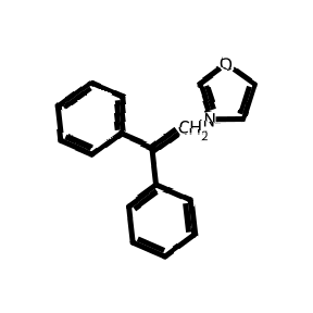 C=C(c1ccccc1)c1ccccc1.c1cocn1